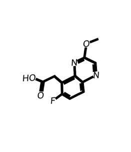 COc1cnc2ccc(F)c(CC(=O)O)c2n1